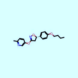 CCCCOc1ccc([C@@H]2CC(Oc3ccc(C)nc3)=NO2)cc1